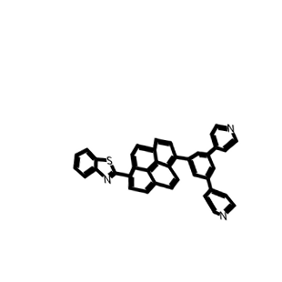 c1ccc2sc(-c3ccc4ccc5c(-c6cc(-c7ccncc7)cc(-c7ccncc7)c6)ccc6ccc3c4c65)nc2c1